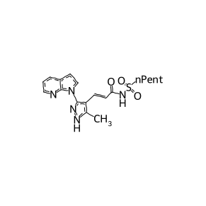 CCCCCS(=O)(=O)NC(=O)/C=C/c1c(-n2ccc3cccnc32)n[nH]c1C